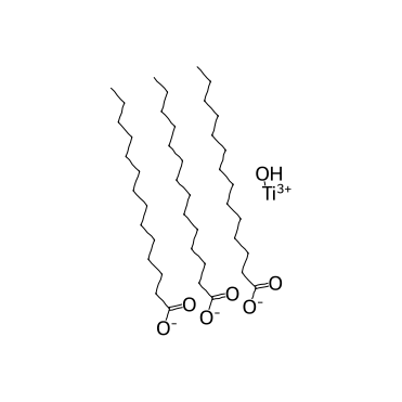 CCCCCCCCCCCCCC(=O)[O-].CCCCCCCCCCCCCC(=O)[O-].CCCCCCCCCCCCCC(=O)[O-].[OH][Ti+3]